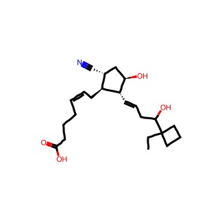 CCC1(C(O)C/C=C/[C@@H]2[C@@H](C/C=C\CCCC(=O)O)[C@H](C#N)C[C@H]2O)CCC1